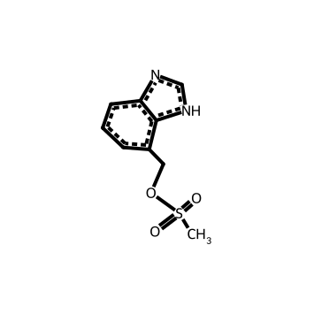 CS(=O)(=O)OCc1cccc2nc[nH]c12